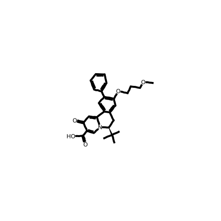 COCCCOc1cc2c(cc1-c1ccccc1)-c1cc(=O)c(C(=O)O)cn1[C@H](C(C)(C)C)C2